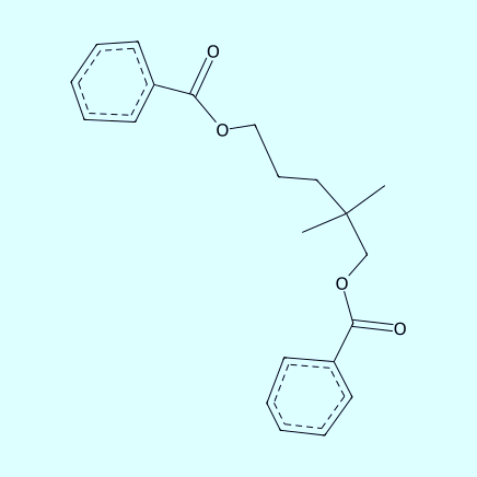 CC(C)(CCCOC(=O)c1ccccc1)COC(=O)c1ccccc1